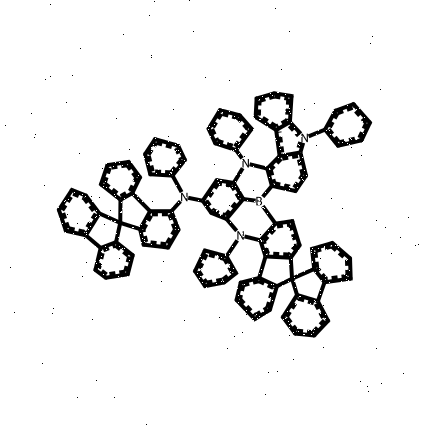 c1ccc(N(c2cc3c4c(c2)N(c2ccccc2)c2c(ccc5c2c2ccccc2n5-c2ccccc2)B4c2ccc4c(c2N3c2ccccc2)-c2ccccc2C42c3ccccc3-c3ccccc32)c2cccc3c2-c2ccccc2C32c3ccccc3-c3ccccc32)cc1